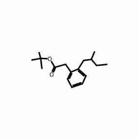 CCC(C)Cc1ccccc1CC(=O)OC(C)(C)C